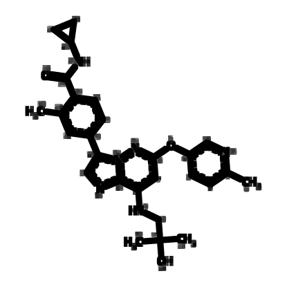 Cc1ccc(Oc2cc(NCC(C)(C)O)c3ncc(-c4ccc(C(=O)NC5CC5)c(C)c4)n3n2)cn1